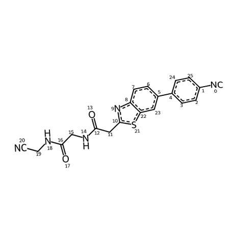 [C-]#[N+]c1ccc(-c2ccc3nc(CC(=O)NCC(=O)NCC#N)sc3c2)cc1